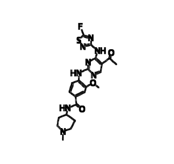 COc1cc(C(=O)NC2CCN(C)CC2)ccc1Nc1ncc(C(C)=O)c(Nc2nsc(F)n2)n1